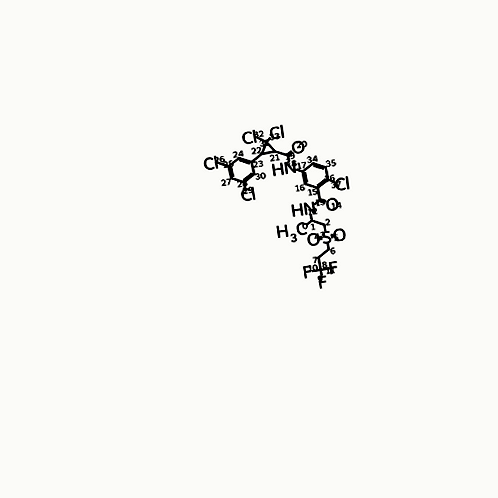 CC(CS(=O)(=O)CCC(F)(F)F)NC(=O)c1cc(NC(=O)C2C(c3cc(Cl)cc(Cl)c3)C2(Cl)Cl)ccc1Cl